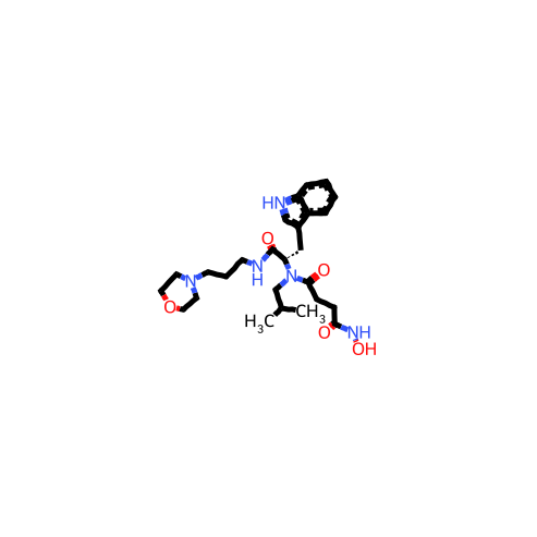 CC(C)CN(C(=O)CCC(=O)NO)[C@@H](Cc1c[nH]c2ccccc12)C(=O)NCCCN1CCOCC1